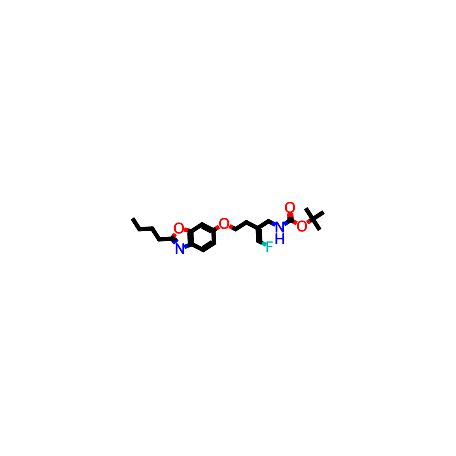 CCCCc1nc2ccc(OCCC(=CF)CNC(=O)OC(C)(C)C)cc2o1